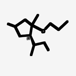 CCCOC1(C)CC(C)C[C@@H]1C(C)CC